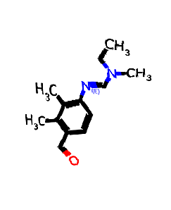 CCN(C)/C=N/c1ccc(C=O)c(C)c1C